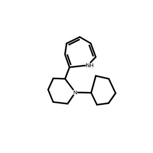 C1=CC=C(C2CCCCN2C2CCCCC2)NC=C1